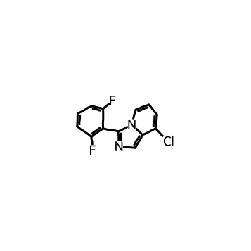 Fc1cccc(F)c1-c1ncc2c(Cl)cccn12